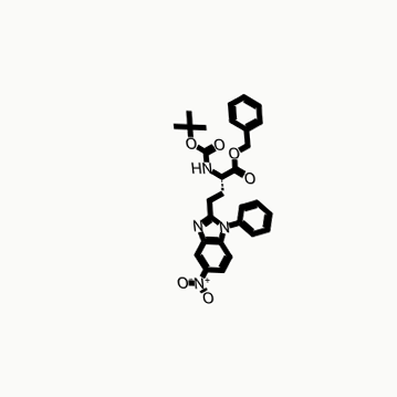 CC(C)(C)OC(=O)N[C@@H](CCc1nc2cc([N+](=O)[O-])ccc2n1-c1ccccc1)C(=O)OCc1ccccc1